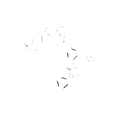 COC(=O)C1CCC(N(C)CC2CCCN2C(=O)Cc2ccc(NC(=O)Nc3ccccc3C)c(OC)c2)CC1